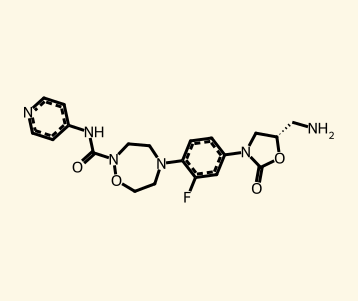 NC[C@H]1CN(c2ccc(N3CCON(C(=O)Nc4ccncc4)CC3)c(F)c2)C(=O)O1